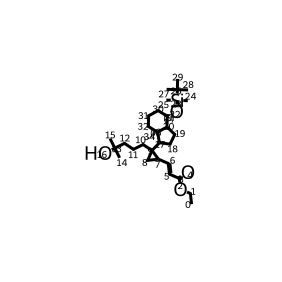 CCOC(=O)C=CC1CC1(CCCC(C)(C)O)C1CCC2[C@@H](O[Si](C)(C)C(C)(C)C)CCC[C@@]21C